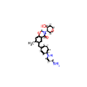 Cc1cc2c(cc1CC1=CCC=C(N/C=C\CN)C=C1)C(=O)N([C@H]1COCC[C@@H]1O)CO2